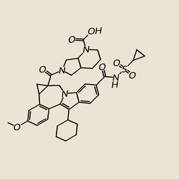 COc1ccc2c(c1)C1CC1(C(=O)N1CC3CCCN(C(=O)O)C3C1)Cn1c-2c(C2CCCCC2)c2ccc(C(=O)NS(=O)(=O)C3CC3)cc21